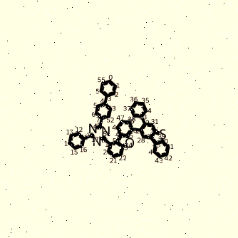 c1ccc(-c2ccc(-c3nc(-c4ccccc4)nc(-c4cccc5oc6c(-c7cc8c(cc7-c7ccccc7)sc7ccccc78)cccc6c45)n3)cc2)cc1